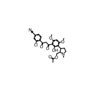 COc1cc(OC)c(C2CCN(C)C2COC(C)=O)c(O)c1C(=O)CC(=O)c1ccc(C#N)cc1Cl